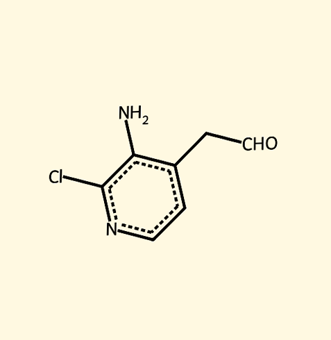 Nc1c(CC=O)ccnc1Cl